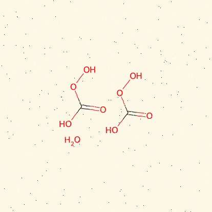 O.O=C(O)OO.O=C(O)OO